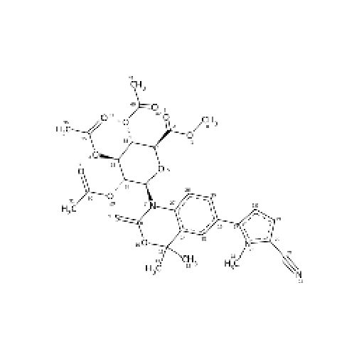 COC(=O)[C@H]1O[C@@H](N2C(=S)OC(C)(C)c3cc(-c4ccc(C#N)n4C)ccc32)[C@H](OC(C)=O)[C@@H](OC(C)=O)[C@@H]1OC(C)=O